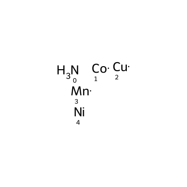 N.[Co].[Cu].[Mn].[Ni]